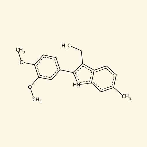 CCc1c(-c2ccc(OC)c(OC)c2)[nH]c2cc(C)ccc12